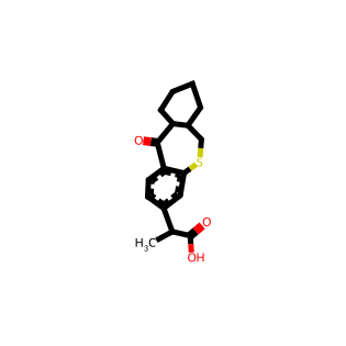 CC(C(=O)O)c1ccc2c(c1)SCC1CCCCC1C2=O